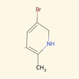 CC1=[C]C=C(Br)CN1